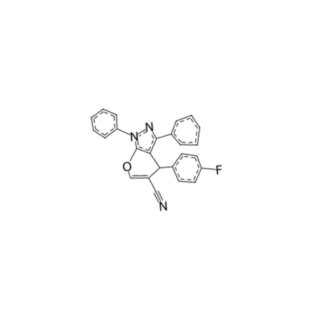 N#CC1=COc2c(c(-c3ccccc3)nn2-c2ccccc2)C1c1ccc(F)cc1